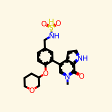 Cn1cc(-c2cc(CN[SH](=O)=O)ccc2OC2CCCOC2)c2cc[nH]c2c1=O